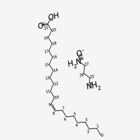 CCCCCCCC/C=C\CCCCCCCCCCCC(=O)O.NCCC[NH2+][O-]